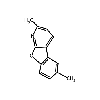 Cc1ccc2oc3nc(C)ccc3c2c1